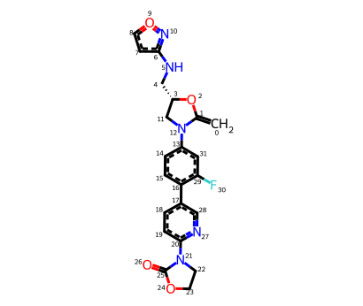 C=C1O[C@@H](CNc2ccon2)CN1c1ccc(-c2ccc(N3CCOC3=O)nc2)c(F)c1